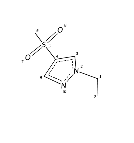 CCn1cc(S(C)(=O)=O)cn1